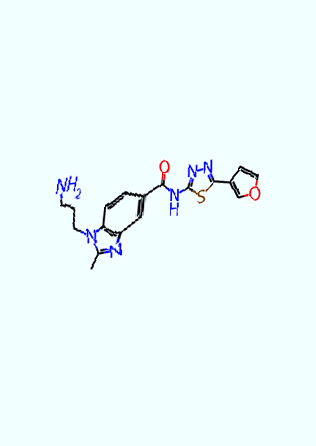 Cc1nc2cc(C(=O)Nc3nnc(-c4ccoc4)s3)ccc2n1CCCN